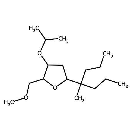 CCCC(C)(CCC)C1CC(OC(C)C)C(COC)O1